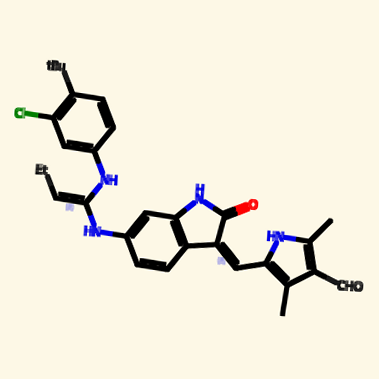 CC/C=C(\Nc1ccc(C(C)(C)C)c(Cl)c1)Nc1ccc2c(c1)NC(=O)/C2=C\c1[nH]c(C)c(C=O)c1C